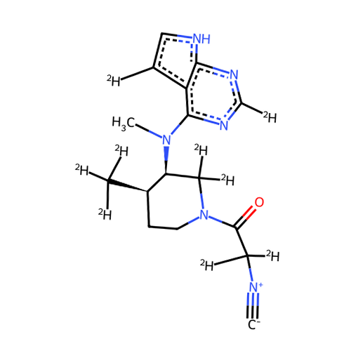 [2H]c1nc(N(C)[C@@H]2[C@H](C([2H])([2H])[2H])CCN(C(=O)C([2H])([2H])[N+]#[C-])C2([2H])[2H])c2c([2H])c[nH]c2n1